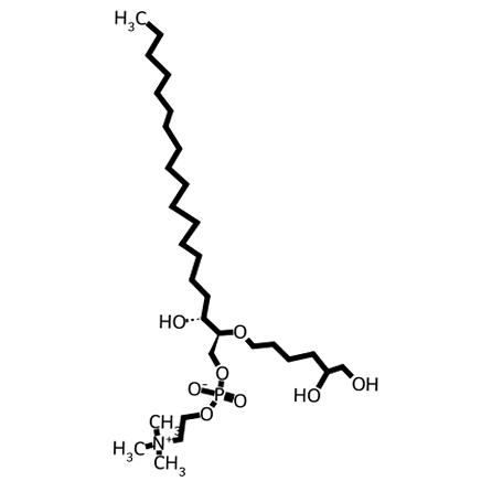 CCCCCCCCCCCCCCCC[C@@H](O)[C@H](COP(=O)([O-])OCC[N+](C)(C)C)OCCCCC(O)CO